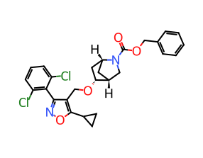 O=C(OCc1ccccc1)N1C[C@H]2C[C@@H]1C[C@H]2OCc1c(-c2c(Cl)cccc2Cl)noc1C1CC1